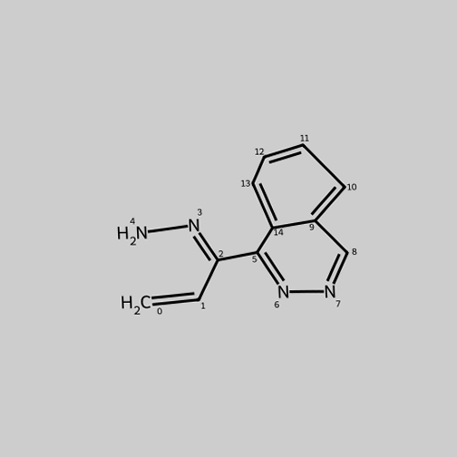 C=CC(=NN)c1nncc2ccccc12